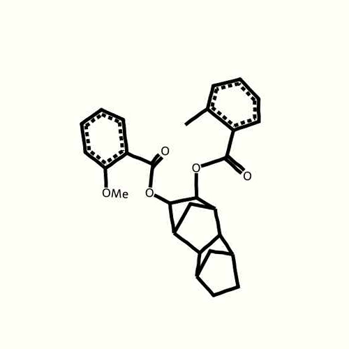 COc1ccccc1C(=O)OC1C2CC(C1OC(=O)c1ccccc1C)C1C3CCC(C3)C21